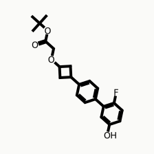 CC(C)(C)OC(=O)COC1CC(c2ccc(-c3cc(O)ccc3F)cc2)C1